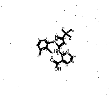 Cc1c(F)cccc1-n1nc(C(C)(C)C)cc1Nc1ncccc1C(=O)O